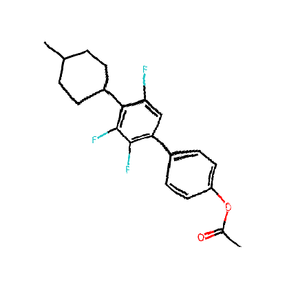 CC(=O)Oc1ccc(-c2cc(F)c(C3CCC(C)CC3)c(F)c2F)cc1